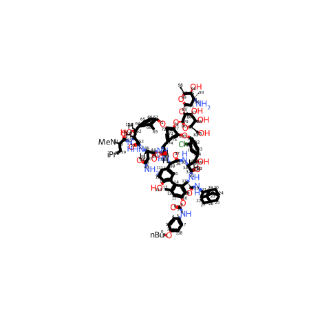 CCCCOc1ccc(NC(=O)Oc2cc(C)c3c(c2)[C@@H](C(=O)NC2C4CC5CC(C4)CC2C5)NC(=O)[C@H]2NC(=O)[C@H](NC(=O)[C@@H]4NC(=O)[C@H](CC(N)=O)NC(=O)[C@H](NC(=O)[C@@H](CC(C)C)NC)[C@H](O)c5ccc(c(C)c5)Oc5cc4cc(c5O[C@@H]4O[C@H](CO)[C@@H](O)[C@H](O)[C@H]4O[C@H]4C[C@](C)(N)[C@H](O)[C@H](C)O4)Oc4ccc(cc4Cl)[C@H]2O)c2ccc(O)c-3c2)cc1